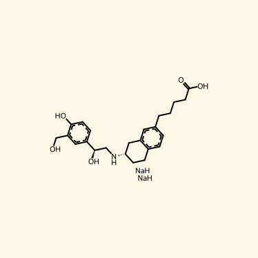 O=C(O)CCCCc1ccc2c(c1)C[C@@H](NC[C@@H](O)c1ccc(O)c(CO)c1)CC2.[NaH].[NaH]